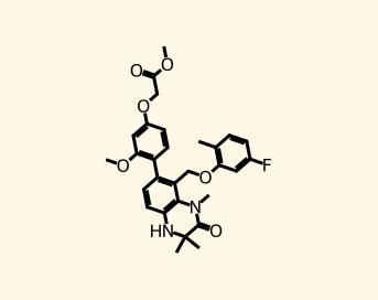 COC(=O)COc1ccc(-c2ccc3c(c2COc2cc(F)ccc2C)N(C)C(=O)C(C)(C)N3)c(OC)c1